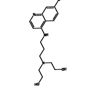 COc1ccc2c(NCCCN(CCO)CCO)ccnc2c1